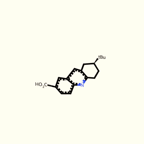 CC(C)(C)[C@H]1CCc2nc3ccc(C(=O)O)cc3cc2C1